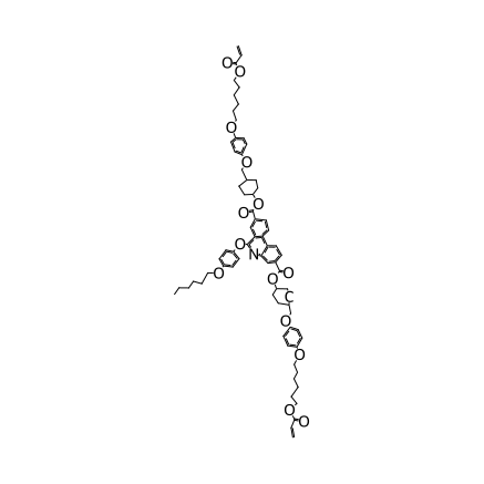 C=CC(=O)OCCCCCCOc1ccc(OCC2CCC(OC(=O)c3ccc4c(c3)nc(Oc3ccc(OCCCCCC)cc3)c3cc(C(=O)OC5CCC(COc6ccc(OCCCCCCOC(=O)C=C)cc6)CC5)ccc34)CC2)cc1